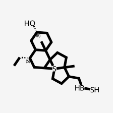 CC[C@H]1CC2C3(CCC4(C)C(CBS)CCS243)C2(C)CC[C@@H](O)CC12